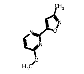 COc1ccnc(-c2cc(C)no2)n1